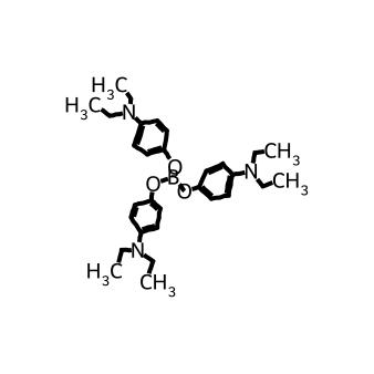 CCN(CC)c1ccc(OB(Oc2ccc(N(CC)CC)cc2)Oc2ccc(N(CC)CC)cc2)cc1